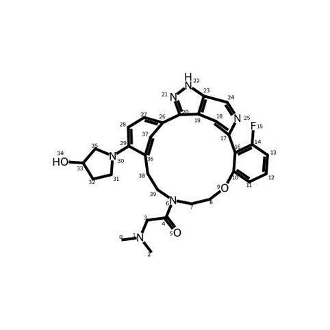 CN(C)CC(=O)N1CCOc2cccc(F)c2-c2cc3c(n[nH]c3cn2)-c2ccc(N3CCC(O)C3)c(c2)CC1